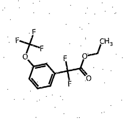 CCOC(=O)C(F)(F)c1cccc(OC(F)(F)F)c1